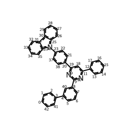 c1ccc(-c2cccc(-c3nc(-c4ccccc4)cc(-c4ccc(-n5c6ccccc6c6ccccc65)cc4)n3)c2)cc1